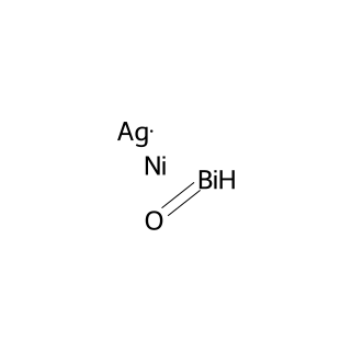 [Ag].[Ni].[O]=[BiH]